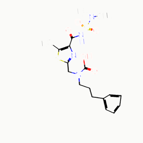 Cc1sc(CN(CCCc2ccccc2)C(=O)O)nc1C(=O)NS(=O)(=O)N(C)C